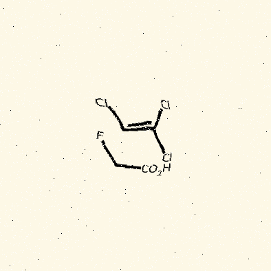 ClC=C(Cl)Cl.O=C(O)CF